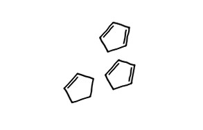 C1=CCC=C1.C1=CCC=C1.C1=CCCC1